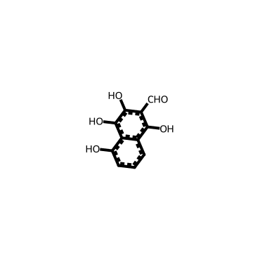 O=Cc1c(O)c(O)c2c(O)cccc2c1O